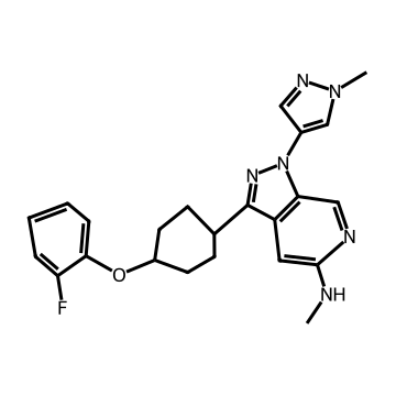 CNc1cc2c(C3CCC(Oc4ccccc4F)CC3)nn(-c3cnn(C)c3)c2cn1